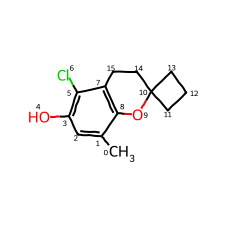 Cc1cc(O)c(Cl)c2c1OC1(CCC1)CC2